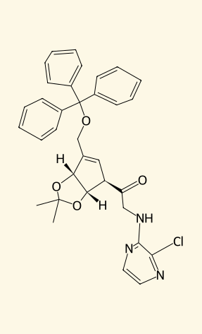 CC1(C)O[C@@H]2[C@H](O1)C(COC(c1ccccc1)(c1ccccc1)c1ccccc1)=C[C@H]2C(=O)CNc1nccnc1Cl